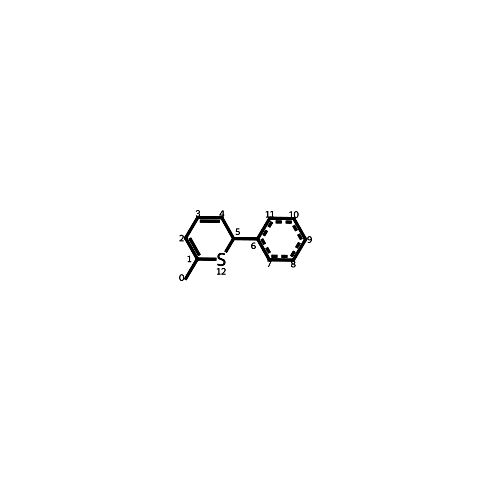 CC1=CC=CC(c2ccccc2)S1